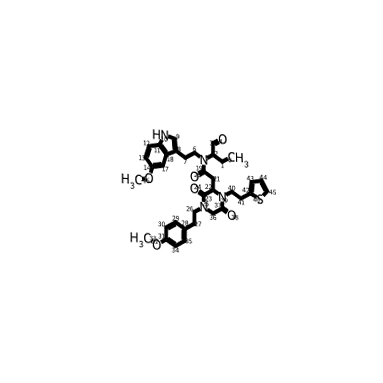 CCC(C=O)N(CCc1c[nH]c2ccc(OC)cc12)C(=O)CC1C(=O)N(CCc2ccc(OC)cc2)CC(=O)N1CCc1cccs1